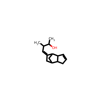 CC(O)C(C)/C=C1/CC2CC1C1C=CCC21